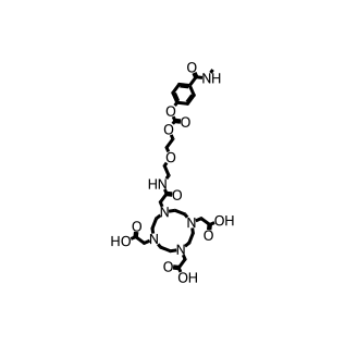 CNC(=O)c1ccc(OC(=O)OCCOCCNC(=O)CN2CCN(CC(=O)O)CCN(CC(=O)O)CCN(CC(=O)O)CC2)cc1